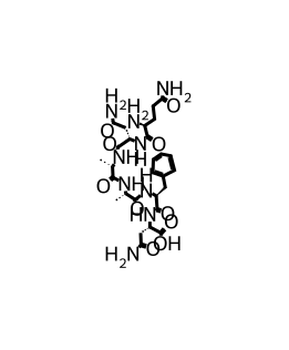 C[C@H](NC(=O)[C@H](C)NC(=O)[C@H](CC(N)=O)NC(=O)[C@@H](N)CCC(N)=O)C(=O)N[C@@H](Cc1ccccc1)C(=O)N[C@@H](CC(N)=O)C(=O)O